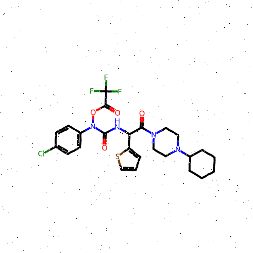 O=C(C(NC(=O)N(OC(=O)C(F)(F)F)c1ccc(Cl)cc1)c1cccs1)N1CCN(C2CCCCC2)CC1